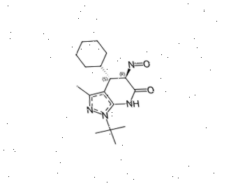 Cc1nn(C(C)(C)C)c2c1[C@H](C1CCCCC1)[C@@H](N=O)C(=O)N2